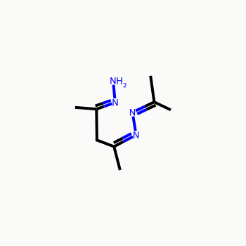 CC(C)=N/N=C(/C)CC(C)=NN